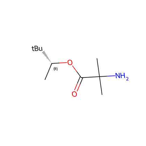 C[C@@H](OC(=O)C(C)(C)N)C(C)(C)C